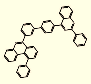 c1ccc(-c2nc(-c3ccc(-c4cccc(-c5nc6ccccc6c6c(-c7ccccc7)cccc56)c4)cc3)c3ccccc3n2)cc1